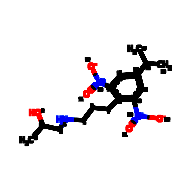 CC(O)CNCCCc1c([N+](=O)[O-])cc(C(C)C)cc1[N+](=O)[O-]